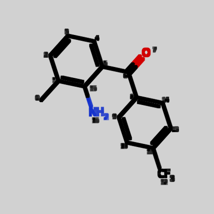 Cc1cccc(C(=O)c2ccc(C(F)(F)F)cc2)c1N